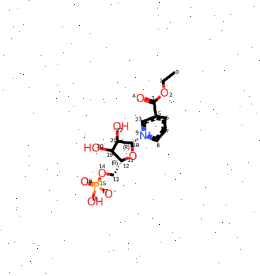 CCOC(=O)c1ccc[n+]([C@@H]2O[C@H](COP(=O)([O-])O)C(O)C2O)c1